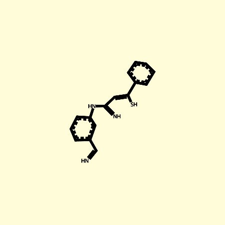 N=Cc1cccc(NC(=N)/C=C(\S)c2ccccc2)c1